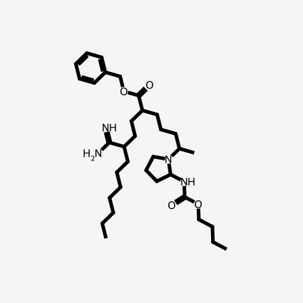 CCCCCCCC(CCC(CCCC(C)N1CCCC1NC(=O)OCCCC)C(=O)OCc1ccccc1)C(=N)N